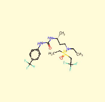 CCN(CC[C@@H](C)NC(=O)Nc1ccc(C(F)(F)F)cc1)[SH](=O)(CC)CC(F)(F)F